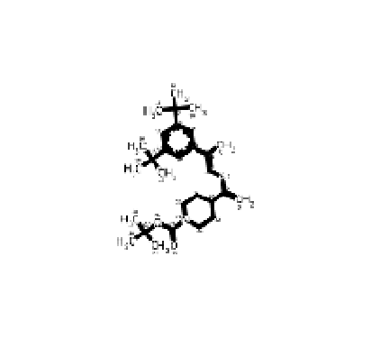 C=C(S/C=C(\C)c1cc(C(C)(C)C)cc(C(C)(C)C)c1)C1CCN(C(=O)OC(C)(C)C)CC1